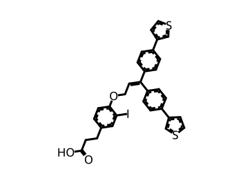 O=C(O)CCc1ccc(OCC=C(c2ccc(-c3ccsc3)cc2)c2ccc(-c3ccsc3)cc2)c(I)c1